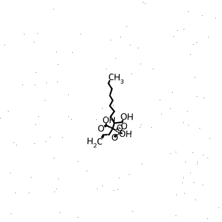 C=CCC(C(=O)O)(C(CCCCCCCC)C(=O)O)S(=O)(=O)O